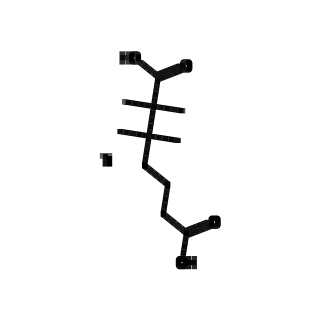 CC(C)(CCCC(=O)O)C(C)(C)C(=O)O.[Ti]